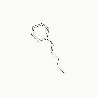 [CH2]CCC=Nc1ccccc1